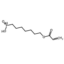 C=CC(=O)OCCCCCCC[PH](=O)O